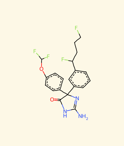 NC1=NC(c2ccc(OC(F)F)cc2)(c2cccc(C(F)CCCF)c2)C(=O)N1